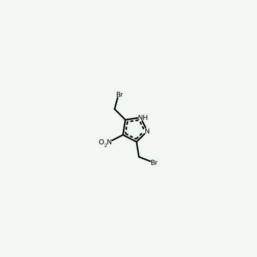 O=[N+]([O-])c1c(CBr)n[nH]c1CBr